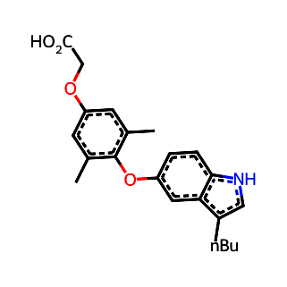 CCCCc1c[nH]c2ccc(Oc3c(C)cc(OCC(=O)O)cc3C)cc12